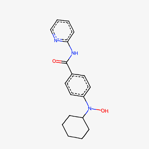 O=C(Nc1ccccn1)c1ccc(N(O)C2CCCCC2)cc1